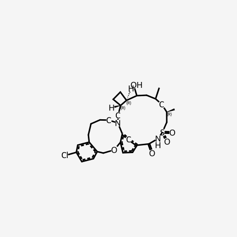 CC1CC(O)[C@@H]2CC[C@H]2CN2CCCCc3cc(Cl)ccc3COc3ccc(cc32)C(=O)NS(=O)(=O)C[C@H](C)C1